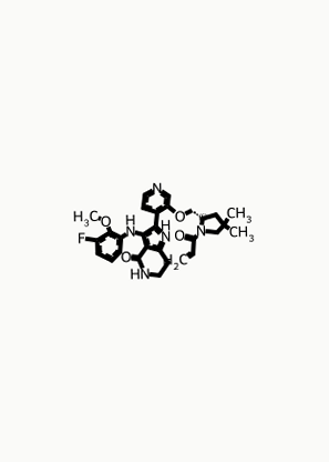 C=CC(=O)N1CC(C)(C)C[C@H]1COc1cnccc1-c1[nH]c2c(c1Nc1cccc(F)c1OC)C(=O)NCC2